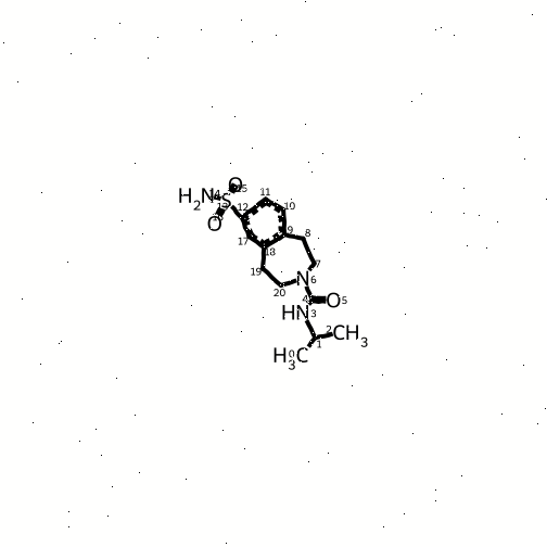 CC(C)NC(=O)N1CCc2ccc(S(N)(=O)=O)cc2CC1